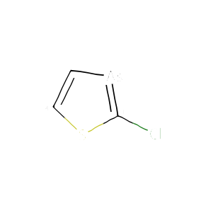 ClC1=[As]C=CS1